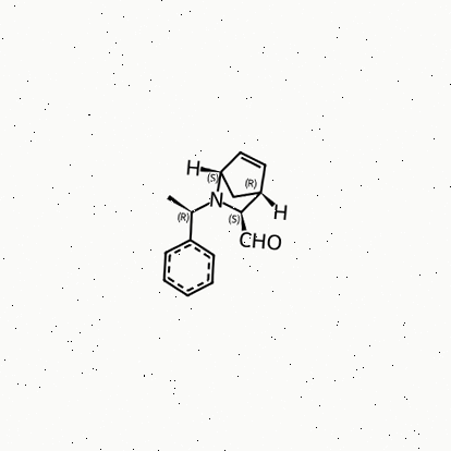 C[C@H](c1ccccc1)N1[C@@H]2C=C[C@@H](C2)[C@H]1C=O